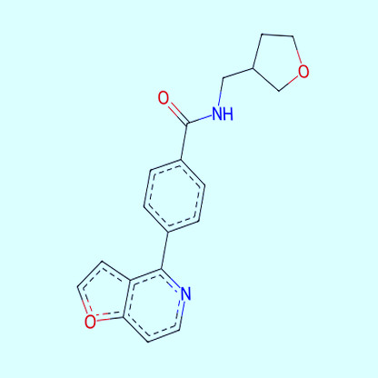 O=C(NCC1CCOC1)c1ccc(-c2nccc3occc23)cc1